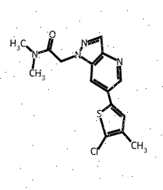 Cc1cc(-c2cnc3cnn(CC(=O)N(C)C)c3c2)sc1Cl